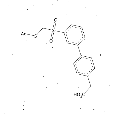 CC(=O)SCS(=O)(=O)c1cccc(-c2ccc(CC(=O)O)cc2)c1